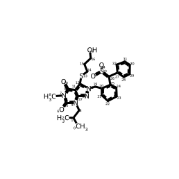 CC(C)Cn1c(=O)n(C)c(=O)c2c(SCCCO)n(Cc3ccccc3C(c3ccccc3)=S(=O)=O)nc21